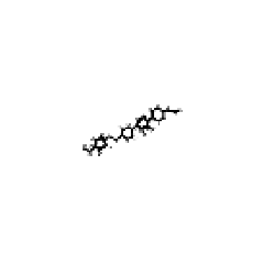 CCCC1CCC(c2ccc(C3CCC(COc4ccc(CC)c(F)c4)CC3)c(F)c2F)CC1